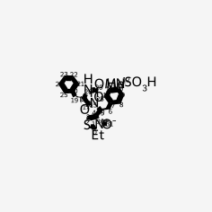 CCc1scc([C@H](Cc2ccc(NS(=O)(=O)O)cc2)NC(=O)[C@H](Cc2ccccc2)NC(=O)OC)[n+]1[O-]